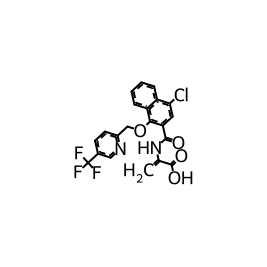 C=C(NC(=O)c1cc(Cl)c2ccccc2c1OCc1ccc(C(F)(F)F)cn1)C(=O)O